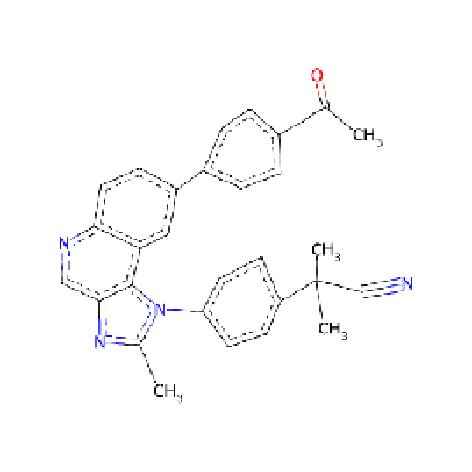 CC(=O)c1ccc(-c2ccc3ncc4nc(C)n(-c5ccc(C(C)(C)C#N)cc5)c4c3c2)cc1